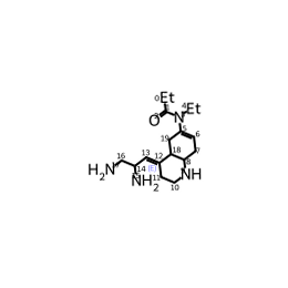 CCC(=O)N(CC)C1=CCC2NCC/C(=C\C(N)CN)C2C1